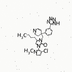 CCCCc1cn(-c2c(Cl)ccn2C)c(=O)n1CC1(c2cccc(-c3nnn[nH]3)c2)C=CN=CC1